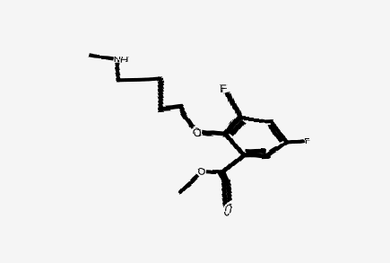 CNCCCCOc1c(F)cc(F)cc1C(=O)OC